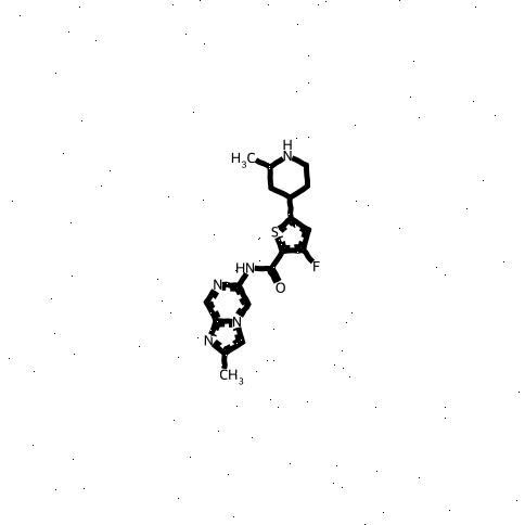 Cc1cn2cc(NC(=O)c3sc(C4CCNC(C)C4)cc3F)ncc2n1